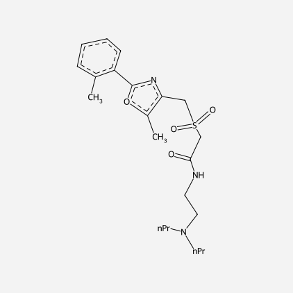 CCCN(CCC)CCNC(=O)CS(=O)(=O)Cc1nc(-c2ccccc2C)oc1C